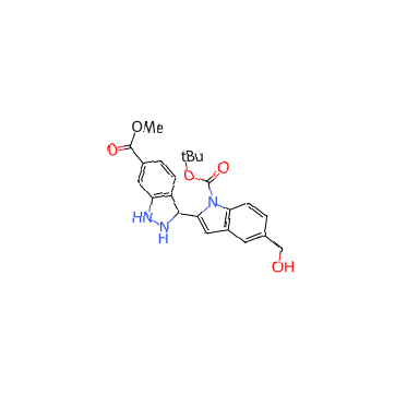 COC(=O)c1ccc2c(c1)NNC2c1cc2cc(CO)ccc2n1C(=O)OC(C)(C)C